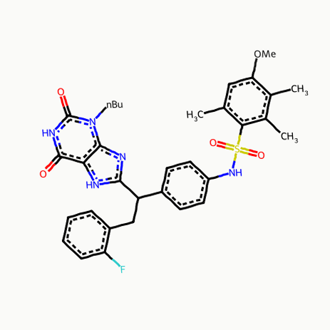 CCCCn1c(=O)[nH]c(=O)c2[nH]c(C(Cc3ccccc3F)c3ccc(NS(=O)(=O)c4c(C)cc(OC)c(C)c4C)cc3)nc21